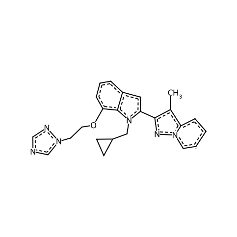 Cc1c(-c2cc3cccc(OCCn4cncn4)c3n2CC2CC2)nn2c[c]ccc12